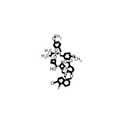 COc1ccc(CN(Cc2ccc(OC)cc2)S(=O)(=O)C(C)C(C)[C@H]2C=C(C(O)[C@@H]3CC[C@H]3CN3C[C@@]4(CCCc5c4ccc(Cl)c5F)COc4ccc(C(=O)O)nc43)C2)cc1